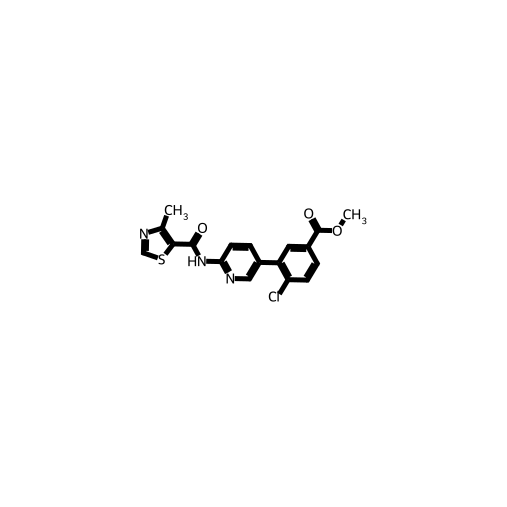 COC(=O)c1ccc(Cl)c(-c2ccc(NC(=O)c3scnc3C)nc2)c1